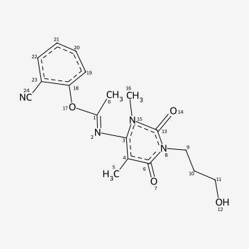 C/C(=N\c1c(C)c(=O)n(CCCO)c(=O)n1C)Oc1ccccc1C#N